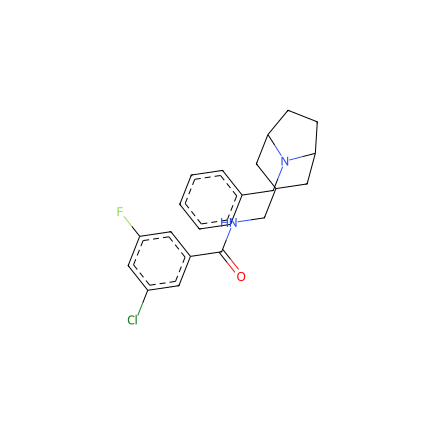 O=C(NCC1CC2CCC(C1)N2Cc1ccccc1)c1cc(F)cc(Cl)c1